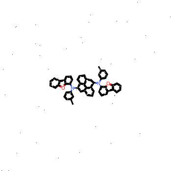 Cc1cccc(N(c2cc3cccc4c(N(c5cccc(C)c5)c5cccc6c5oc5ccccc56)cc5cccc2c5c34)c2cccc3c2oc2ccccc23)c1